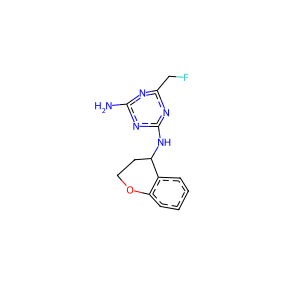 Nc1nc(CF)nc(NC2CCOc3ccccc32)n1